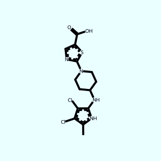 Cc1[nH]c(NC2CCN(c3ncc(C(=O)O)s3)CC2)c(Cl)c1Cl